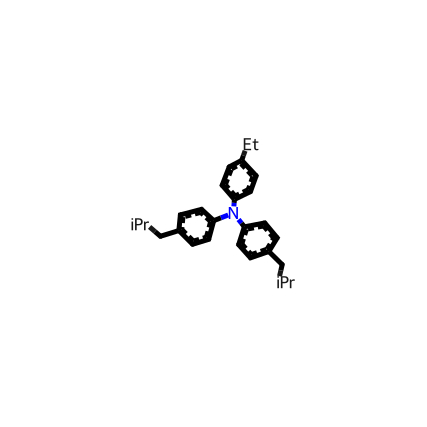 CCc1ccc(N(c2ccc(CC(C)C)cc2)c2ccc(CC(C)C)cc2)cc1